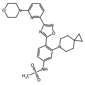 CS(=O)(=O)Nc1ccc(-c2nc(-c3cccc(N4CCOCC4)n3)no2)c(N2CCC3(CC2)CC3)c1